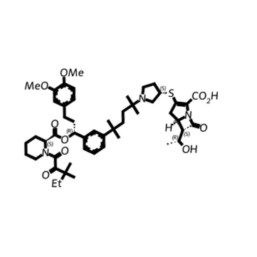 CCC(C)(C)C(=O)C(=O)N1CCCC[C@H]1C(=O)O[C@H](CCc1ccc(OC)c(OC)c1)c1cccc(C(C)(C)CCC(C)(C)N2CC[C@H](SC3=C(C(=O)O)N4C(=O)[C@H]([C@@H](C)O)[C@H]4C3)C2)c1